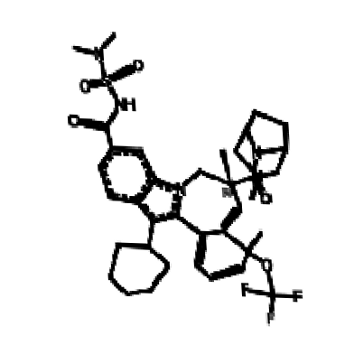 CN1CC2CCC(C1)N2C(=O)[C@]1(C)C=C2C(=CC=CC2(C)OC(F)(F)F)c2c(C3CCCCC3)c3ccc(C(=O)NS(=O)(=O)N(C)C)cc3n2C1